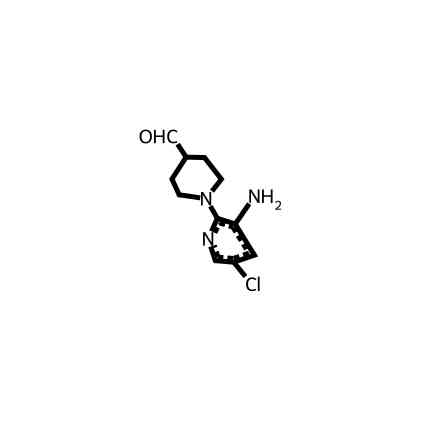 Nc1cc(Cl)cnc1N1CCC(C=O)CC1